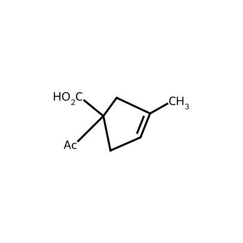 CC(=O)C1(C(=O)O)CC=C(C)C1